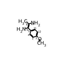 COc1ccc(C(N)=C(C)N)cc1